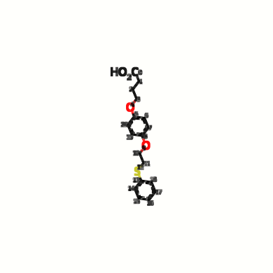 O=C(O)CCCOc1ccc(OCCSc2ccccc2)cc1